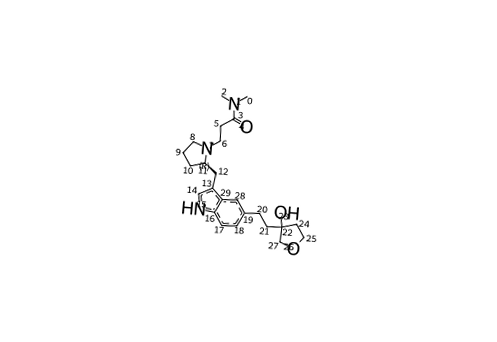 CN(C)C(=O)CCN1CCC[C@@H]1Cc1c[nH]c2ccc(CCC3(O)CCOC3)cc12